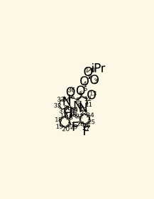 CC(C)OC(=O)OCOc1c2n(ncc1=O)[C@@H]([C@H](c1ccccc1)c1cccc(F)c1F)[C@H]1CCCN1C2=O